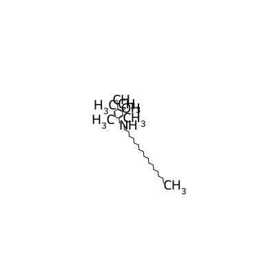 CCCCCCCCCCCCCCCCCCNCc1c(C)cc(C(C)(C)C)c(O)c1C